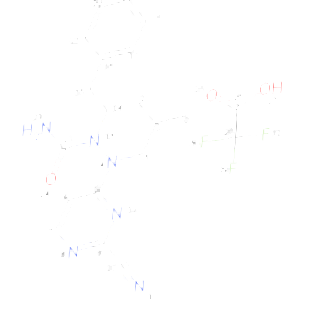 CC(C)CN(c1ccnc(C#N)n1)N(CCc1ccccc1)C(N)=O.O=C(O)C(F)(F)F